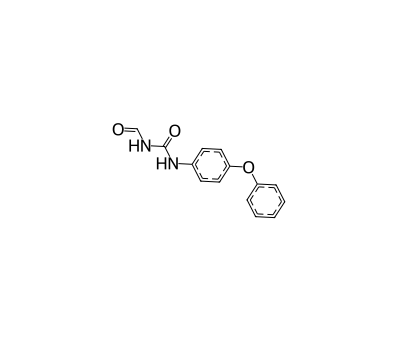 O=CNC(=O)Nc1ccc(Oc2ccccc2)cc1